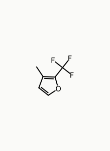 Cc1ccoc1C(F)(F)F